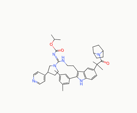 Cc1cc(C)cc(-c2[nH]c3ccc(C(C)(C)C(=O)N4C5CCC4CC5)cc3c2CCN/C(=N\C(=O)OC(C)C)N2CCC(c3ccncc3)C2)c1